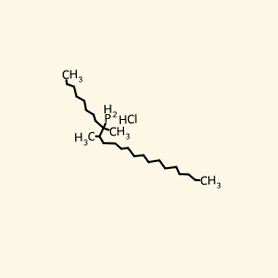 CCCCCCCCCCCCCCC(C)C(C)(P)CCCCCCCC.Cl